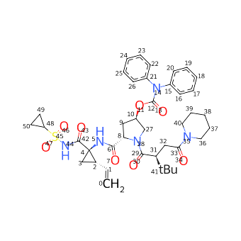 C=C[C@@H]1C[C@]1(NC(=O)[C@@H]1C[C@@H](OC(=O)N(c2ccccc2)c2ccccc2)CN1C(=O)[C@@H](CC(=O)N1CCCCC1)C(C)(C)C)C(=O)NS(=O)(=O)C1CC1